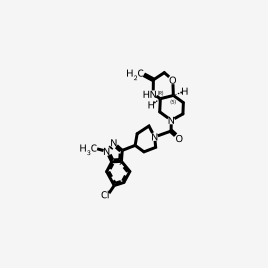 C=C1CO[C@H]2CCN(C(=O)N3CCC(c4nn(C)c5cc(Cl)ccc45)CC3)C[C@H]2N1